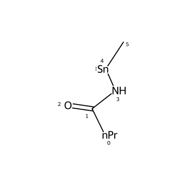 CCCC(=O)[NH][Sn][CH3]